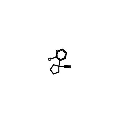 N#CC1(c2cccnc2Cl)CCCC1